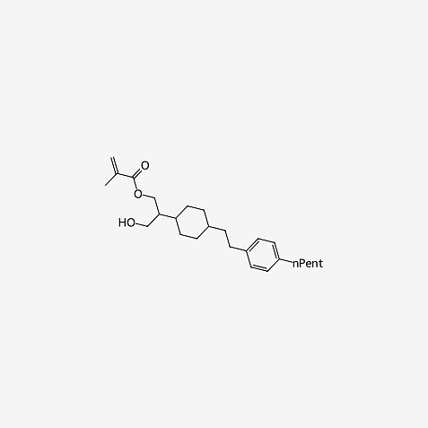 C=C(C)C(=O)OCC(CO)C1CCC(CCc2ccc(CCCCC)cc2)CC1